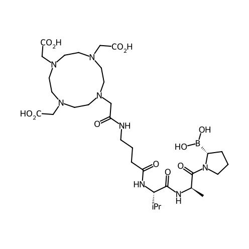 CC(C)[C@H](NC(=O)CCCNC(=O)CN1CCN(CC(=O)O)CCN(CC(=O)O)CCN(CC(=O)O)CC1)C(=O)N[C@H](C)C(=O)N1CCC[C@H]1B(O)O